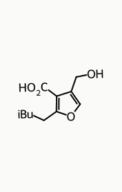 CCC(C)Cc1occ(CO)c1C(=O)O